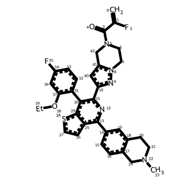 C=C(F)C(=O)N1CCn2nc(-c3nc(-c4ccc5c(c4)CCN(C)C5)c4ccsc4c3-c3ccc(F)cc3OCC)cc2C1